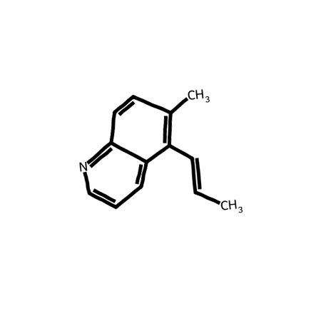 CC=Cc1c(C)ccc2ncccc12